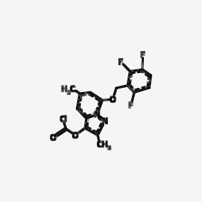 Cc1cc(OCc2c(F)ccc(F)c2F)n2nc(C)c(OC(=O)Cl)c2c1